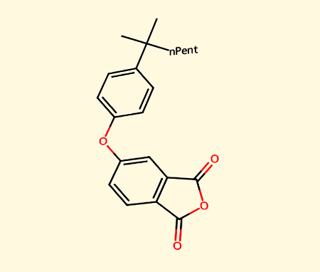 CCCCCC(C)(C)c1ccc(Oc2ccc3c(c2)C(=O)OC3=O)cc1